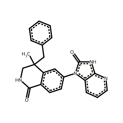 CC1(Cc2ccccc2)CNC(=O)c2ccc(-n3c(=O)[nH]c4ncccc43)cc21